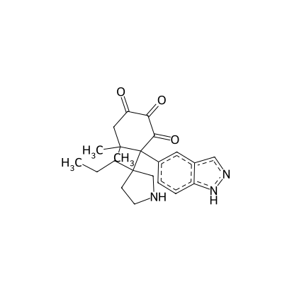 CCCC1(C2(c3ccc4[nH]ncc4c3)C(=O)C(=O)C(=O)CC2(C)C)CCNC1